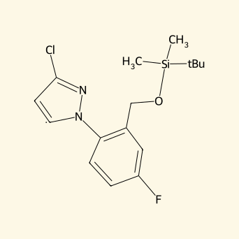 CC(C)(C)[Si](C)(C)OCc1cc(F)ccc1-n1[c]cc(Cl)n1